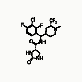 CN1CC[C@@H]([C@@H](NC(=O)[C@@H]2CNC(=O)N2)c2ccc(F)c(Cl)c2F)C[C@@H]1C(F)(F)F